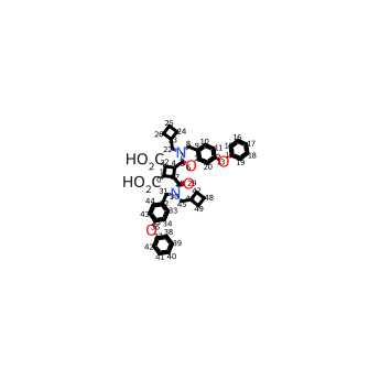 O=C(O)C1C(C(=O)O)C(C(=O)N(Cc2ccc(Oc3ccccc3)cc2)CC2CCC2)C1C(=O)N(Cc1ccc(Oc2ccccc2)cc1)CC1CCC1